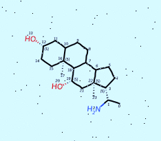 CC(N)[C@H]1CCC2C3CCC4C[C@@H](O)CC[C@]4(C)C3[C@@H](O)C[C@@]21C